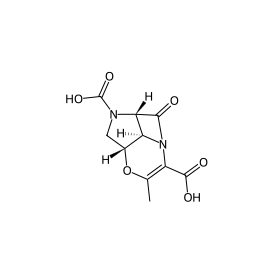 CC1=C(C(=O)O)N2C(=O)[C@@H]3[C@@H]2[C@@H](CN3C(=O)O)O1